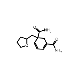 NC(=O)C1=CC=CC(CC2CCCO2)(C(N)=O)C1